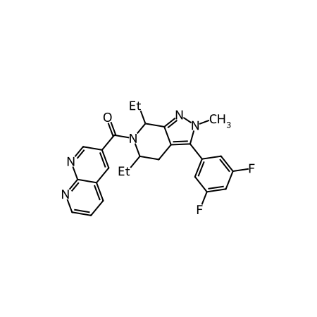 CCC1Cc2c(nn(C)c2-c2cc(F)cc(F)c2)C(CC)N1C(=O)c1cnc2ncccc2c1